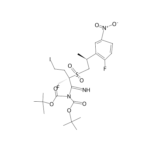 C[C@H](CS(=O)(=O)[C@](CF)(CCI)C(=N)N(C(=O)OC(C)(C)C)C(=O)OC(C)(C)C)c1cc([N+](=O)[O-])ccc1F